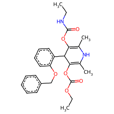 CCNC(=O)OC1=C(C)NC(C)=C(OC(=O)OCC)C1c1ccccc1OCc1ccccc1